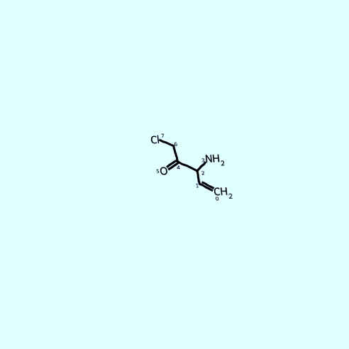 C=CC(N)C(=O)CCl